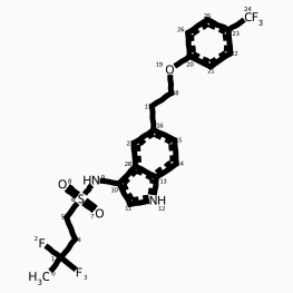 CC(F)(F)CCS(=O)(=O)Nc1c[nH]c2ccc(CCOc3ccc(C(F)(F)F)cc3)cc12